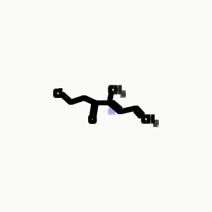 C=C/C=C(\C)C(=O)CCCl